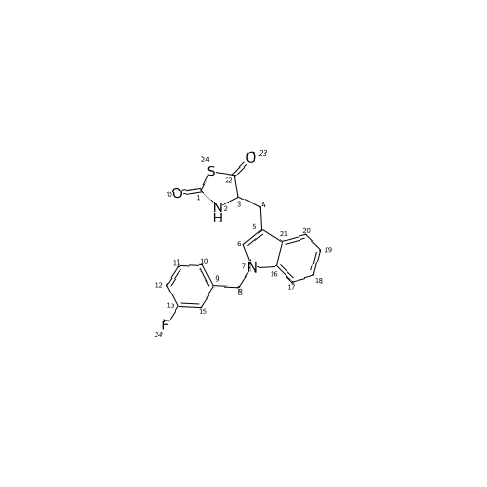 O=C1NC(Cc2cn(Cc3cccc(F)c3)c3ccccc23)C(=O)S1